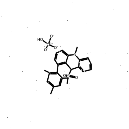 Cc1cc(C)c(-c2cccc3c2C(S(C)(=O)=O)c2ccccc2N3C)c(C)c1.[O-][Cl+3]([O-])([O-])O